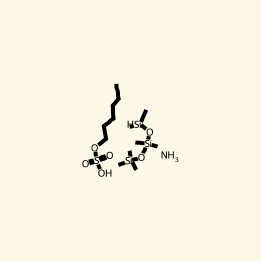 CCCCCCOS(=O)(=O)O.C[SiH](C)O[Si](C)(C)O[Si](C)(C)C.N